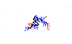 COCCn1cc(Nc2nccc(-c3ccc(NC(=O)CC#N)cc3)n2)cn1